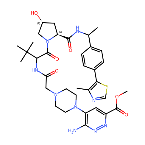 COC(=O)c1cc(N2CCN(CC(=O)NC(C(=O)N3C[C@H](O)C[C@H]3C(=O)NC(C)c3ccc(-c4scnc4C)cc3)C(C)(C)C)CC2)c(N)nn1